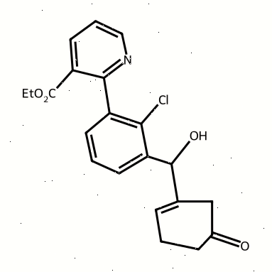 CCOC(=O)c1cccnc1-c1cccc(C(O)C2=CCCC(=O)C2)c1Cl